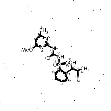 COc1cc(C)nc(NC(=O)NS(=O)(=O)c2ccccc2C(O)C(C)F)n1